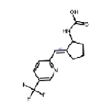 O=C(O)NC1CCC/C1=C\c1ccc(C(F)(F)F)cn1